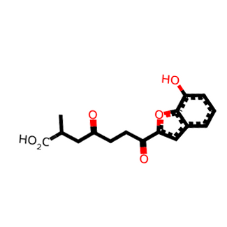 CC(CC(=O)CCC(=O)c1cc2cccc(O)c2o1)C(=O)O